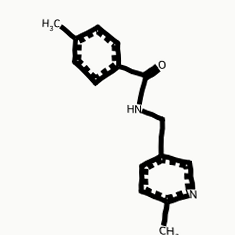 Cc1ccc(C(=O)NCc2ccc(C)nc2)cc1